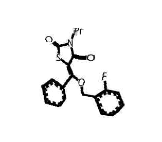 CC(C)N1C(=O)SC(=C(OCc2ccccc2F)c2ccccc2)C1=O